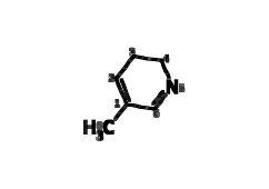 CC1=CCCN=C1